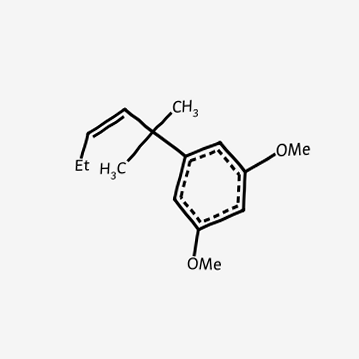 CC/C=C\C(C)(C)c1cc(OC)cc(OC)c1